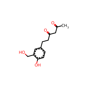 CC(=O)CC(=O)CCc1ccc(O)c(CO)c1